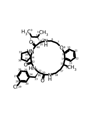 CCC(C)[C@@H]1NCCOc2ccccc2C(C)CCNC(=O)[C@@H](Cc2cccc(Cl)c2)NC(=O)C2(CCCC2)NC1=O